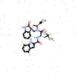 C#C[C@@H]1C[C@@]2(CN1C(=O)[C@H](CC(C)(C)F)NC(=O)c1cc3c(F)ccc(F)c3[nH]1)C(=O)Nc1ccccc12